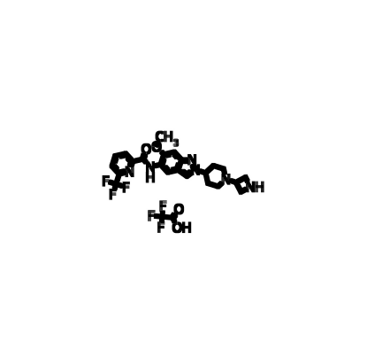 COc1cc2nn(C3CCN(C4CNC4)CC3)cc2cc1NC(=O)c1cccc(C(F)(F)F)n1.O=C(O)C(F)(F)F